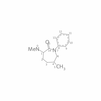 CNC1CCC(C)CN(c2ccccc2)C1=O